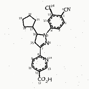 N#Cc1ccc(N2N=C(c3ccc(C(=O)O)cn3)CC2C2CCCC2)cc1Cl